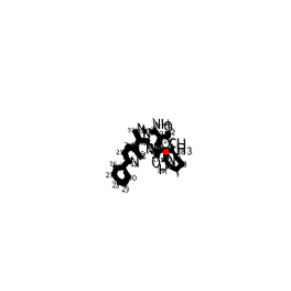 CC(=O)c1c([C@@H]2C[C@H]3CC[C@@H](C2)N3C(=O)C(N)=O)nc2c(-c3ccc(-c4ccccc4)nc3)cnn2c1N